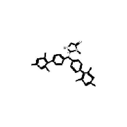 Cc1cc(C)c(-c2ccc(C(c3ccc(-c4c(C)cc(C)cc4C)cc3)[C@@H]3NCC(=O)N3C)cc2)c(C)c1